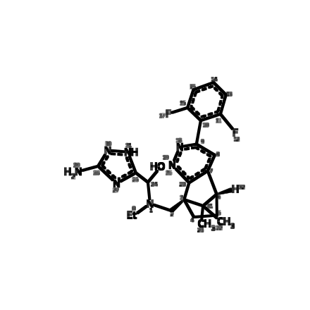 CCN(C[C@@]12CC[C@@H](c3cc(-c4c(F)cccc4F)nnc31)C2(C)C)C(O)c1nc(N)n[nH]1